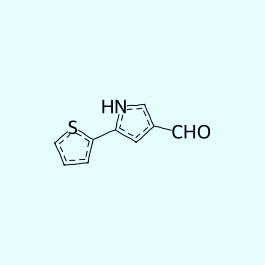 O=Cc1c[nH]c(-c2cccs2)c1